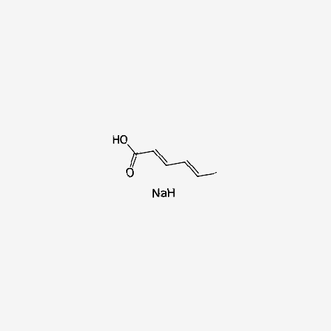 CC=CC=CC(=O)O.[NaH]